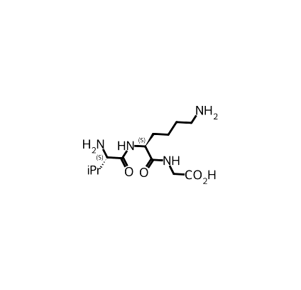 CC(C)[C@H](N)C(=O)N[C@@H](CCCCN)C(=O)NCC(=O)O